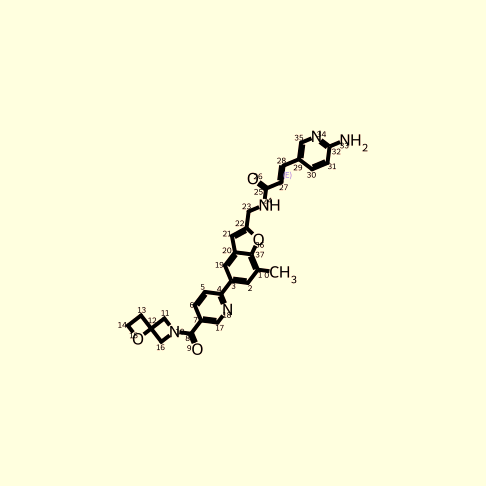 Cc1cc(-c2ccc(C(=O)N3CC4(CCO4)C3)cn2)cc2cc(CNC(=O)/C=C/c3ccc(N)nc3)oc12